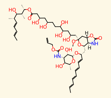 C=CCOC(=O)N[C@@H]1[C@H](O)[C@H](O[C@@H](/C=C/C=C/C=C/C=C/C)C[C@@H]2O[C@@](C[C@@H](O)C[C@@H](O)[C@H](O)CC[C@@H](O)C[C@@H](O)CC(=O)O[C@@H](C)[C@H](C)[C@H](O)[C@@H](C)/C=C/C=C/C)(OC)C[C@@H]3OC(=O)N[C@H]32)O[C@H](C)[C@H]1O